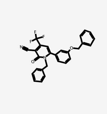 N#Cc1c(C(F)(F)F)cc(-c2cccc(OCc3ccccc3)c2)n(Cc2ccccc2)c1=O